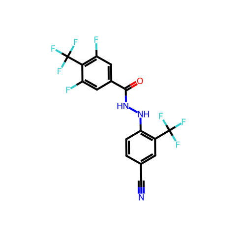 N#Cc1ccc(NNC(=O)c2cc(F)c(C(F)(F)F)c(F)c2)c(C(F)(F)F)c1